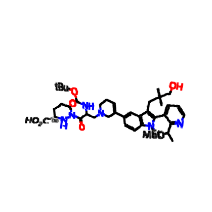 CCn1c(-c2cccnc2C(C)OC)c(CC(C)(C)CO)c2cc(C3=CCCN(CC(NC(=O)OC(C)(C)C)C(=O)N4CCC[C@@H](C(=O)O)N4)C3)ccc21